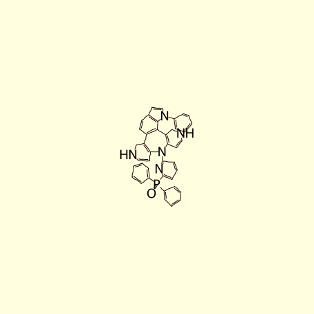 O=P(c1ccccc1)(c1ccccc1)c1cccc(N2C3=C(CNC=C3)c3ccc4ccn(-c5ccccc5)c4c3C3=C2C=CNC3)n1